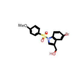 COc1ccc(S(=O)(=O)n2cc(CO)c3cc(Br)ccc32)cc1